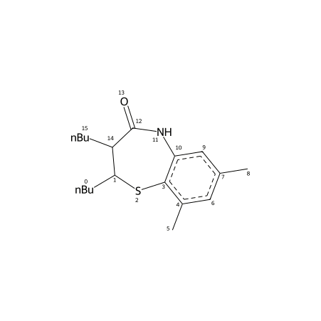 CCCCC1Sc2c(C)cc(C)cc2NC(=O)C1CCCC